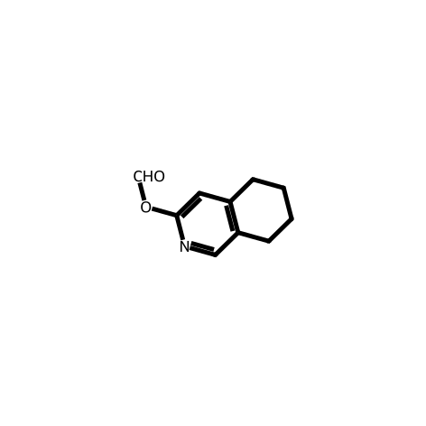 O=COc1cc2c(cn1)CCCC2